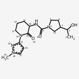 CC(O)C1CCN(C(=O)NC2CCCN(c3ccn(C)n3)C2=O)C1